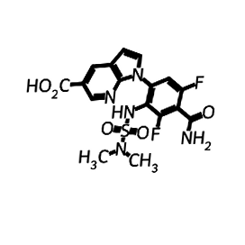 CN(C)S(=O)(=O)Nc1c(-n2ccc3cc(C(=O)O)cnc32)cc(F)c(C(N)=O)c1F